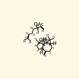 C=C1CC[C@@H]2[C@H]([C@H]3[C@H]1CC[C@]3(C)O)C2(C)C.C=CC(C)(CCC=C(C)C)OC(C)=O